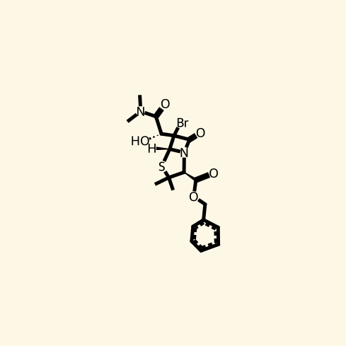 CN(C)C(=O)[C@@H](O)C1(Br)C(=O)N2[C@@H](C(=O)OCc3ccccc3)C(C)(C)S[C@@H]21